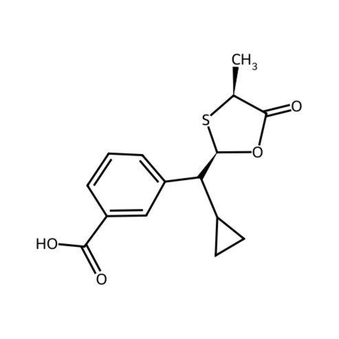 C[C@@H]1S[C@H](C(c2cccc(C(=O)O)c2)C2CC2)OC1=O